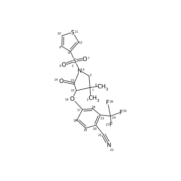 CC1(C)CN(S(=O)(=O)c2ccsc2)C(=O)C1Oc1ccc(C#N)c(C(F)(F)F)c1